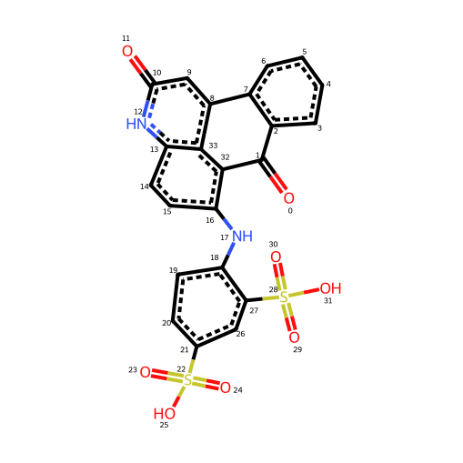 O=C1c2ccccc2-c2cc(=O)[nH]c3ccc(Nc4ccc(S(=O)(=O)O)cc4S(=O)(=O)O)c1c23